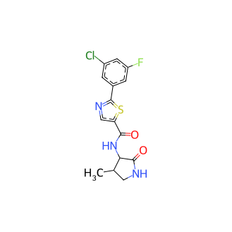 CC1CNC(=O)C1NC(=O)c1cnc(-c2cc(F)cc(Cl)c2)s1